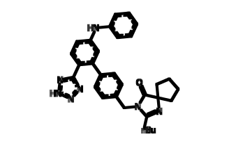 CCCCC1=NC2(CCCC2)C(=O)N1Cc1ccc(-c2cc(Nc3ccccc3)ccc2-c2nn[nH]n2)cc1